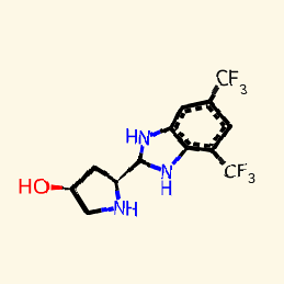 O[C@@H]1CN[C@H](C2Nc3cc(C(F)(F)F)cc(C(F)(F)F)c3N2)C1